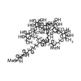 CN[C@@H](CCCCO[C@H]1OC(COC2(C(=O)O)CC(O)[C@@H](C)[C@H]([C@H](O)[C@H](O)CO)O2)[C@H](O)[C@H](O)C1C)C(=O)C[C@@H](CCCCO[C@H]1OC(CO)[C@H](O)[C@H](O[C@@H]2OC(CO)[C@H](O)[C@H](O)C2O)C1NC(C)=O)C(=O)N[C@@H](CCCCO[C@H]1OC(CO)[C@H](O)[C@H](O)C1C)C(=O)CCCCCC(=O)CCC(=O)NCNC(=O)CSC